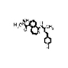 C[C@@H](CC=C1CCNCC1)NC1=NC=C=Cc2c(C(=O)N(C)C)cccc21